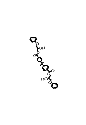 CC(C)(c1ccc(C(=O)OCC(O)COc2ccccc2)cc1)c1ccc(C(=O)OCC(O)COc2ccccc2)cc1